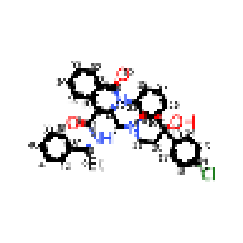 CC[C@H](NC(=O)c1c(CN2CCC(O)(c3ccc(Cl)cc3)CC2)n(-c2ccccc2)c(=O)c2ccccc12)c1ccccc1